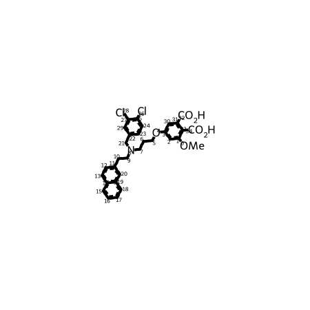 COc1cc(OCCCN(CCc2ccc3ccccc3c2)Cc2ccc(Cl)c(Cl)c2)cc(C(=O)O)c1C(=O)O